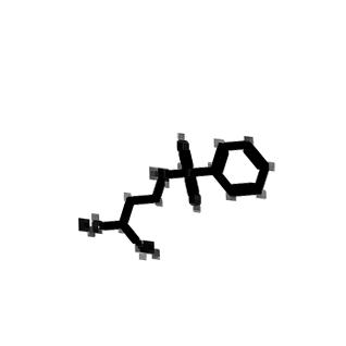 CC(N)CCNS(=O)(=O)c1ccccc1